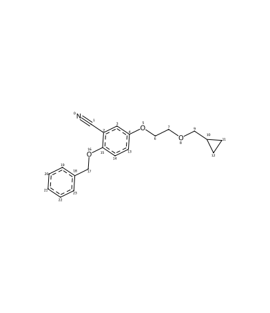 N#Cc1cc(OCCOCC2CC2)ccc1OCc1ccccc1